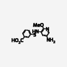 COc1ncc(N)cc1NSc1cccc(C(=O)O)c1